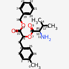 Cc1ccc(CC(OC(=O)[C@H](N)C(C)C)C(=O)OCc2ccccc2)cc1